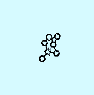 c1ccc(-c2cc(-c3ccccc3)nc(-c3ccccc3-c3ccc4c(c3)-c3ccccc3C43CCCCC3)n2)cc1